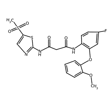 COc1ccccc1Oc1cc(F)ccc1NC(=O)CC(=O)Nc1ncc(S(C)(=O)=O)s1